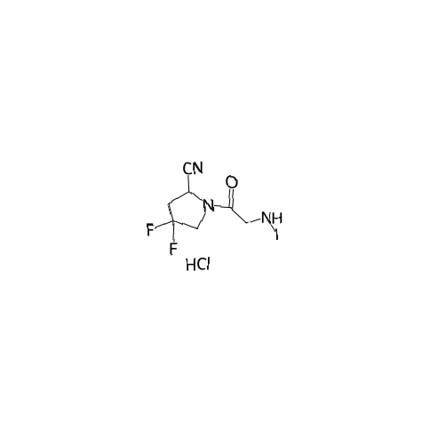 Cl.N#CC1CC(F)(F)CN1C(=O)CNI